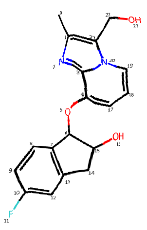 Cc1nc2c(OC3c4ccc(F)cc4CC3O)cccn2c1CO